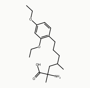 CCOc1ccc(CCCC(C)CC(C)(N)C(=O)O)c(OCC)c1